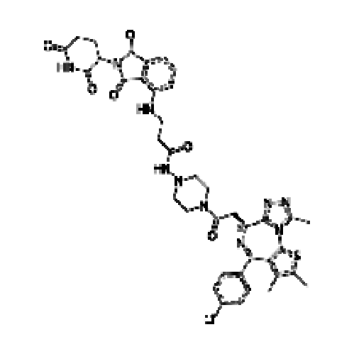 Cc1sc2c(c1C)C(c1ccc(Cl)cc1)=N[C@@H](CC(=O)N1CCN(NC(=O)CCNc3cccc4c3C(=O)N(C3CCC(=O)NC3=O)C4=O)CC1)c1nnc(C)n1-2